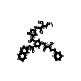 NC[C@H](O)C(=O)N[C@H]1CN[C@H](C(=O)N2C[C@H](NC(=O)[C@H](O)CCc3ccccc3)C[C@H]2C(=O)Nc2cnc3ccccc3c2)C1